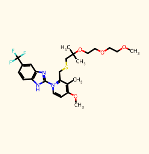 COCCOCCOC(C)(C)CSCc1c(C)c(OC)cc[n+]1-c1nc2cc(C(F)(F)F)ccc2[nH]1